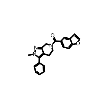 Cn1nc2c(c1-c1ccccc1)CCN(C(=O)c1ccc3occc3c1)C2